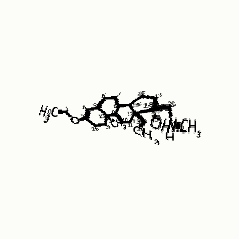 CCOC1=CC2=CCC3C(=CCC4(CC)C3CC[C@@]4(O)CNC)C2(C)CC1